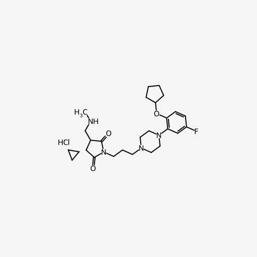 C1CC1.CNCC1CC(=O)N(CCCN2CCN(c3cc(F)ccc3OC3CCCC3)CC2)C1=O.Cl